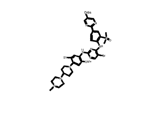 CCc1cc(Nc2ncc(Br)c(Nc3ccc(-c4ncc(OC)cn4)cc3P(C)(C)=O)n2)c(OC)cc1N1CCC(N2CCN(C)CC2)CC1